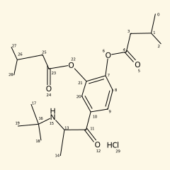 CC(C)CC(=O)Oc1ccc(C(=O)C(C)NC(C)(C)C)cc1OC(=O)CC(C)C.Cl